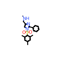 CNCc1cn(S(=O)(=O)c2c(C)cc(C)cc2C)c(-c2ccccc2)n1